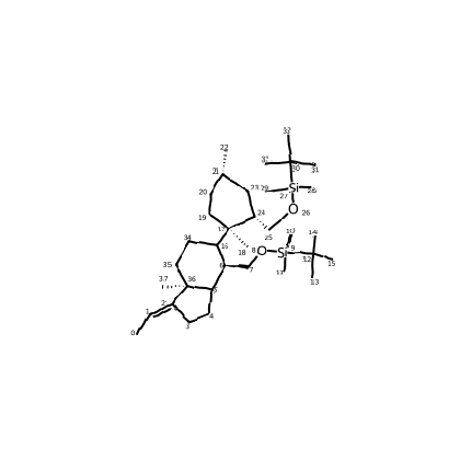 C/C=C1\CCC2[C@H](CO[Si](C)(C)C(C)(C)C)C([C@@]3(C)CC[C@H](C)C[C@@H]3CO[Si](C)(C)C(C)(C)C)CC[C@]12C